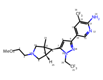 COCCN1C[C@H]2[C@H](c3cc(-c4cnc(N)c(C(F)(F)F)c4)nn3CC(F)(F)F)C2(C)C1